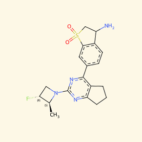 C[C@H]1[C@H](F)CN1c1nc2c(c(-c3ccc4c(c3)S(=O)(=O)CC4N)n1)CCC2